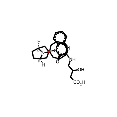 O=C(O)CC(O)CNc1nc2ccccc2n([C@H]2C[C@H]3CC[C@@H](C2)N3C2CCCCCCC2)c1=O